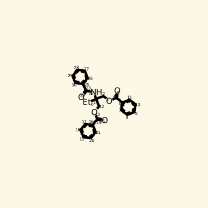 CCC(COC(=O)c1ccccc1)(COC(=O)c1ccccc1)NC(=O)c1ccccc1